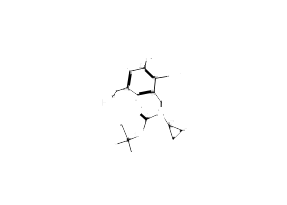 CC(C)(C)OC(=O)N(Cc1cc(CO)cc(Cl)c1Cl)C1CC1